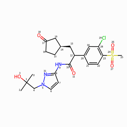 CC(C)(O)Cn1ccc(NC(=O)C(C[C@H]2CCC(=O)C2)c2ccc(S(C)(=O)=O)c(Cl)c2)n1